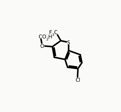 O=C(O)OC1=Cc2cc(Cl)ccc2SC1C(F)(F)F